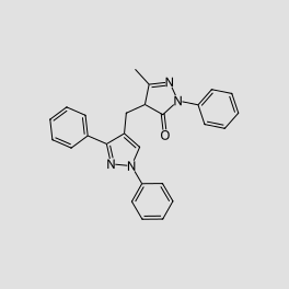 CC1=NN(c2ccccc2)C(=O)C1Cc1cn(-c2ccccc2)nc1-c1ccccc1